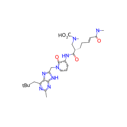 Cc1nc(CC(C)(C)C)c2nc(Cn3cccc(NC(=O)[C@@H](CC/C=C/C(=O)N(C)C)CN(C)C(=O)O)c3=O)[nH]c2n1